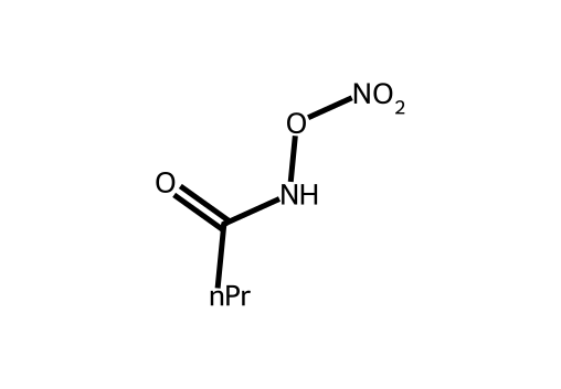 CCCC(=O)NO[N+](=O)[O-]